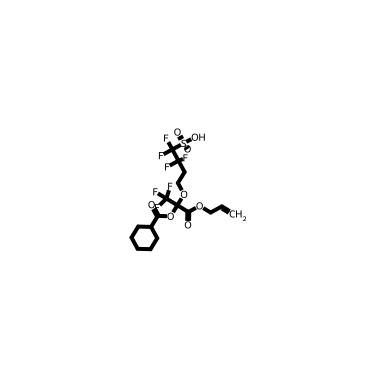 C=CCOC(=O)C(OCCC(F)(F)C(F)(F)S(=O)(=O)O)(OC(=O)C1CCCCC1)C(F)(F)F